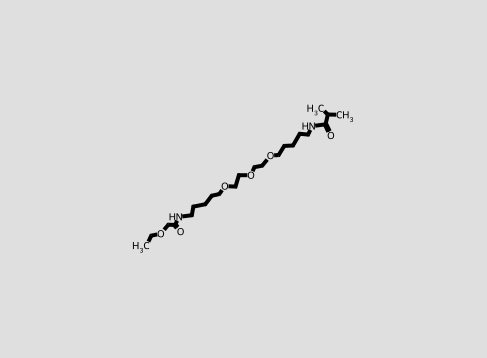 CCOCC(=O)NCCCCCOCCOCCOCCCCCNC(=O)C(C)C